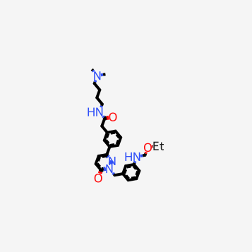 CCOCNc1cccc(Cn2nc(-c3cccc(CC(=O)NCCCCN(C)C)c3)ccc2=O)c1